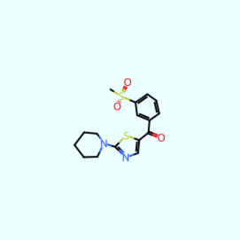 CS(=O)(=O)c1cccc(C(=O)c2cnc(N3CCCCC3)s2)c1